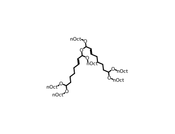 CCCCCCCCOC(C=CCCCCC(OCCCCCCCC)OCCCCCCCC)OC(C=CCCCCC(OCCCCCCCC)OCCCCCCCC)OCCCCCCCC